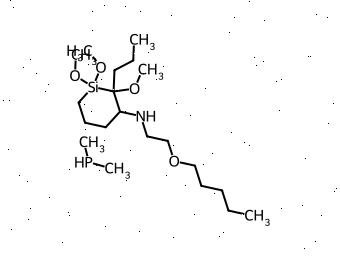 CCCCCOCCNC1CCC[Si](OC)(OC)C1(CCC)OC.CPC